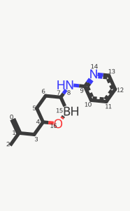 C=C(C)CC1CCC(Nc2ccccn2)BO1